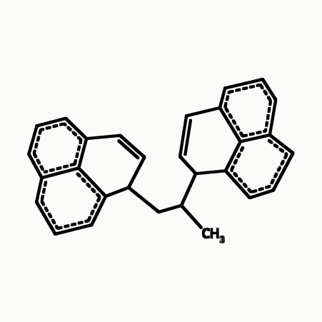 CC(CC1C=Cc2cccc3cccc1c23)C1C=Cc2cccc3cccc1c23